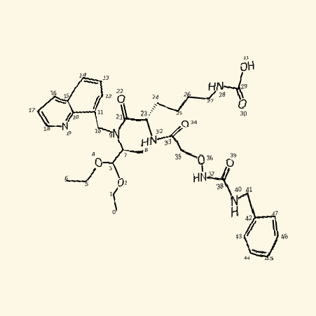 CCOC(OCC)[C@H](C)N(Cc1cccc2cccnc12)C(=O)[C@H](CCCCNC(=O)O)NC(=O)CONC(=O)NCc1ccccc1